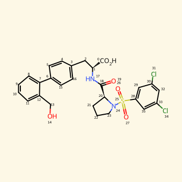 O=C(O)[C@H](Cc1ccc(-c2ccccc2CO)cc1)NC(=O)[C@@H]1CCCN1S(=O)(=O)c1cc(Cl)cc(Cl)c1